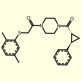 Cc1ccc(C)c(SCC(=O)N2CCN(C(=O)[C@@H]3C[C@H]3c3ccccc3)CC2)c1